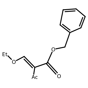 CCOC=C(C(C)=O)C(=O)OCc1ccccc1